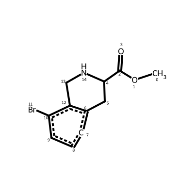 COC(=O)C1Cc2cccc(Br)c2CN1